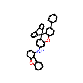 c1ccc(-c2ccc3c(c2)C2(c4ccc(Nc5cccc6oc7ccccc7c56)cc4O3)c3ccccc3-c3ccccc32)cc1